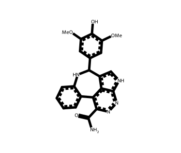 COc1cc(C2Nc3ccccc3-c3c(C(N)=O)nnc4[nH]cc2c34)cc(OC)c1O